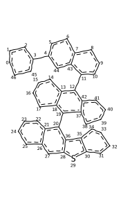 c1ccc(-c2ccc3cccc(-c4c5ccccc5c(-c5c6ccccc6cc6sc7ccccc7c56)c5ccccc45)c3c2)cc1